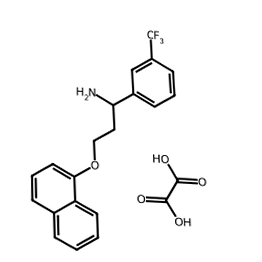 NC(CCOc1cccc2ccccc12)c1cccc(C(F)(F)F)c1.O=C(O)C(=O)O